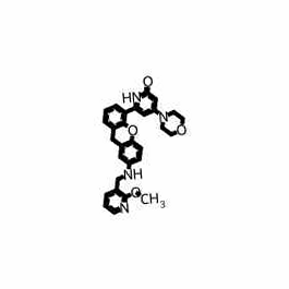 COc1ncccc1CNc1ccc2c(c1)Cc1cccc(-c3cc(N4CCOCC4)cc(=O)[nH]3)c1O2